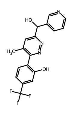 Cc1cc(C(O)c2cccnc2)nnc1-c1ccc(C(F)(F)F)cc1O